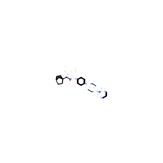 NC(C(=O)Nc1ccc(N2CCN(c3ncccn3)CC2)cc1)C12CCC(CC1)C2